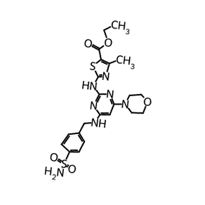 CCOC(=O)c1sc(Nc2nc(NCc3ccc(S(N)(=O)=O)cc3)cc(N3CCOCC3)n2)nc1C